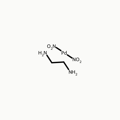 NCCN.O=[N+]([O-])[Pd][N+](=O)[O-]